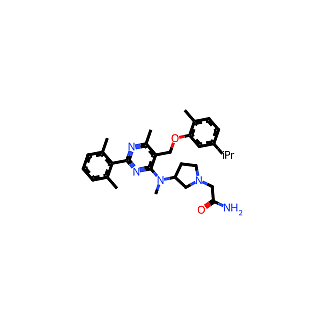 Cc1ccc(C(C)C)cc1OCc1c(C)nc(-c2c(C)cccc2C)nc1N(C)C1CCN(CC(N)=O)C1